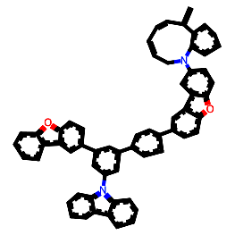 C=C1/C=C\C=C/CN(c2ccc3oc4ccc(-c5ccc(-c6cc(-c7ccc8oc9ccccc9c8c7)cc(-n7c8ccccc8c8ccccc87)c6)cc5)cc4c3c2)c2ccccc21